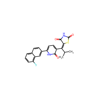 CC(C)/C(=C1\SC(=O)NC1=O)c1ccc(-c2ccc3cccc(F)c3c2)[nH]c1=O